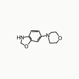 c1cc2c(cc1N1CCOCC1)OCN2